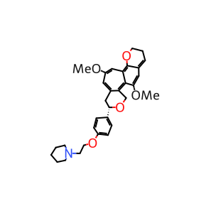 COC1=Cc2c3c(cc(OC)c2=C2CO[C@H](c4ccc(OCCN5CCCCC5)cc4)CC2=C1)=CCCO3